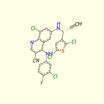 C#C[C@@H](Nc1cc(Cl)c2ncc(C#N)c(Nc3ccc(F)c(Cl)c3)c2c1)c1cc(Cl)sc1Cl